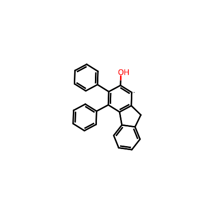 Oc1[c]c2c(c(-c3ccccc3)c1-c1ccccc1)-c1ccccc1C2